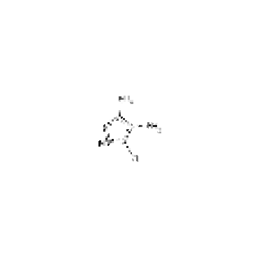 Nc1c[nH]c(Cl)c1N